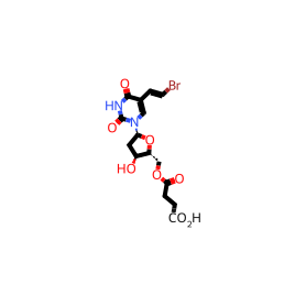 O=C(O)CCC(=O)OC[C@H]1O[C@@H](n2cc(/C=C/Br)c(=O)[nH]c2=O)C[C@@H]1O